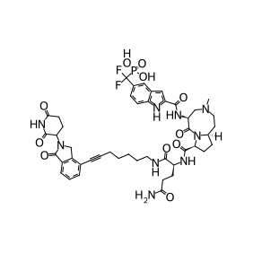 CN1CC[C@H]2CC[C@@H](C(=O)N[C@@H](CCC(N)=O)C(=O)NCCCCCC#Cc3cccc4c3CN(C3CCC(=O)NC3=O)C4=O)N2C(=O)[C@@H](NC(=O)c2cc3cc(C(F)(F)P(=O)(O)O)ccc3[nH]2)C1